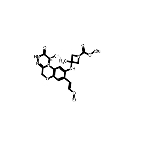 CCOC=Cc1cc2c(cc1NC1(C)CN(C(=O)OC(C)(C)C)C1)N1C(=NNC(=O)[C@H]1C)CO2